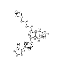 CCCCCCCn1cc(-c2noc(C3CCCN3)n2)c2ccccc21.Cl